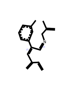 C=CC(=C)/C=C(\C=N/CC(=C)C)c1cccc(C)c1